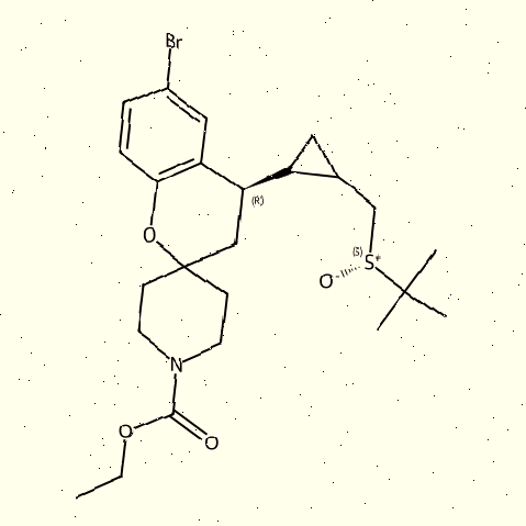 CCOC(=O)N1CCC2(CC1)C[C@H](C1CC1C[S@@+]([O-])C(C)(C)C)c1cc(Br)ccc1O2